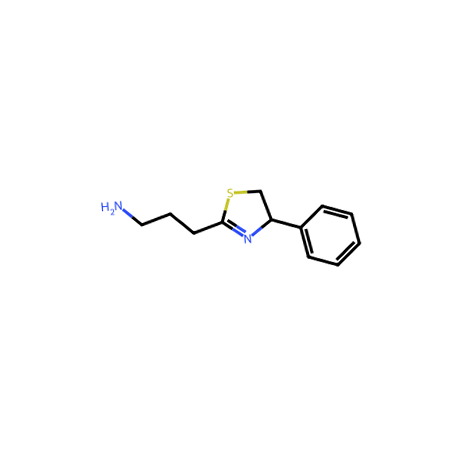 NCCCC1=NC(c2ccccc2)CS1